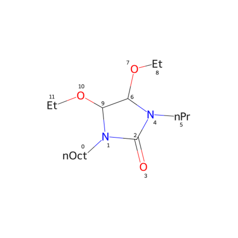 CCCCCCCCN1C(=O)N(CCC)C(OCC)C1OCC